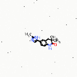 Cc1ncc(-c2ccc3c(c2)CC(C)(C)C(=O)N3)[nH]1